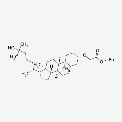 C[C@H](CCCC(C)(C)O)[C@H]1CC[C@H]2[C@@H]3CC=C4C[C@@H](OCC(=O)OC(C)(C)C)CC[C@]4(C)[C@H]3CC[C@]12C